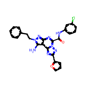 Nc1c2c(nc(C(=O)Nc3cccc(Cl)c3)n3nc(-c4ccco4)nc23)nn1CCc1ccccc1